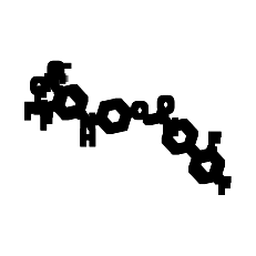 O=C(COC1CCC(Nc2ccc([N+](=O)[O-])c(C(F)(F)F)c2)CC1)N1CCC(c2ccc(F)cc2F)CC1